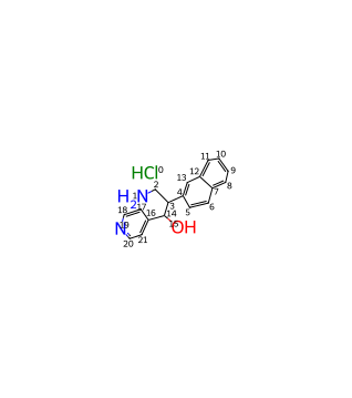 Cl.NCC(c1ccc2ccccc2c1)C(O)c1ccncc1